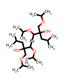 CC(C)CC(O)(COC(C)C)[CH](OC(C)C)[Ba][CH](OC(C)C)C(O)(COC(C)C)CC(C)C